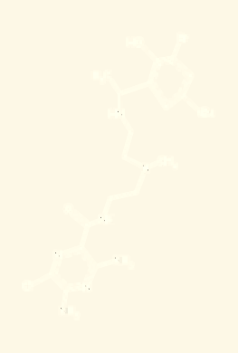 CC(NCCN(C)CCNC(=O)c1nc(Cl)c(N)nc1N)c1cc(C(C)(C)C)cc(Br)c1O